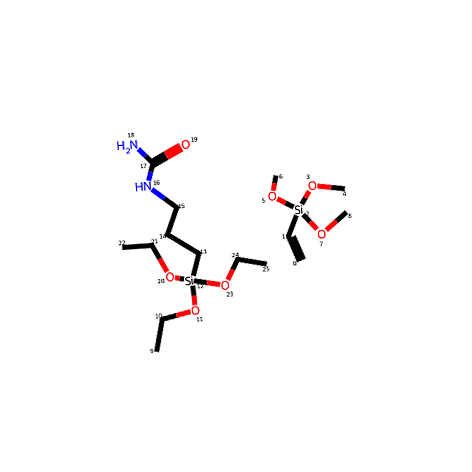 C=C[Si](OC)(OC)OC.CCO[Si](CCCNC(N)=O)(OCC)OCC